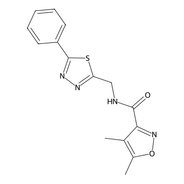 Cc1onc(C(=O)NCc2nnc(-c3ccccc3)s2)c1C